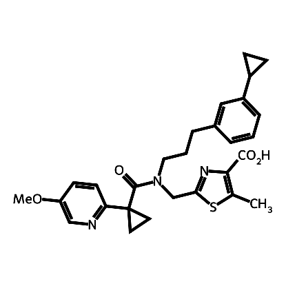 COc1ccc(C2(C(=O)N(CCCc3cccc(C4CC4)c3)Cc3nc(C(=O)O)c(C)s3)CC2)nc1